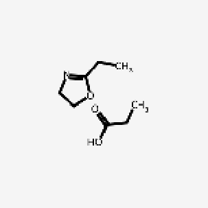 CCC(=O)O.CCC1=NCCO1